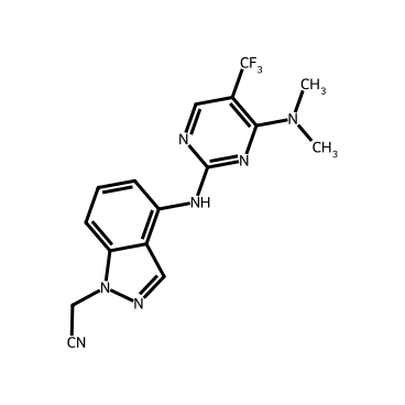 CN(C)c1nc(Nc2cccc3c2cnn3CC#N)ncc1C(F)(F)F